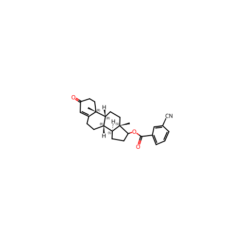 C[C@]12CCC(=O)C=C1CC[C@@H]1[C@H]2CC[C@]2(C)C(OC(=O)c3cccc(C#N)c3)CC[C@@H]12